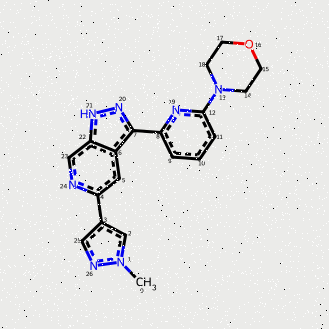 Cn1cc(-c2cc3c(-c4cccc(N5CCOCC5)n4)n[nH]c3cn2)cn1